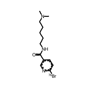 CN(C)CCCCCNC(=O)c1ccc([76Br])nc1